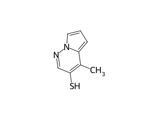 Cc1c(S)cnn2cccc12